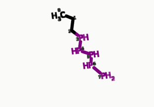 CCCPPPPP